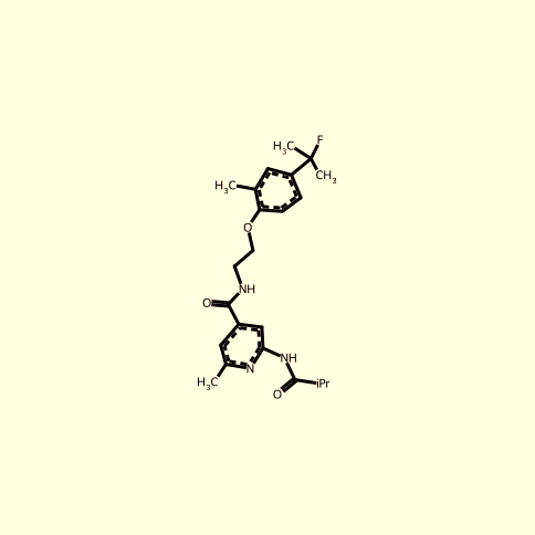 Cc1cc(C(=O)NCCOc2ccc(C(C)(C)F)cc2C)cc(NC(=O)C(C)C)n1